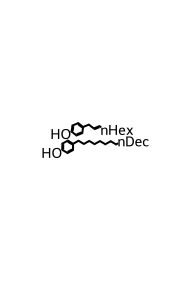 CCCCCCC=CCc1ccc(O)cc1.CCCCCCCCCCCCCCCCCCc1ccc(O)cc1